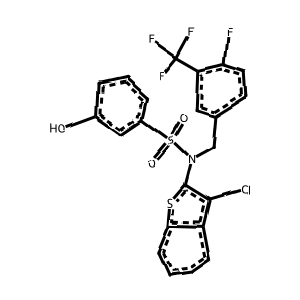 O=S(=O)(c1cccc(O)c1)N(Cc1ccc(F)c(C(F)(F)F)c1)c1sc2ccccc2c1Cl